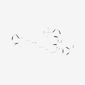 CCc1ncccc1CCCCCCCCCCC1Sc2ccc(I)cc2N1C(=S)Nc1cccc(C(F)(F)F)c1